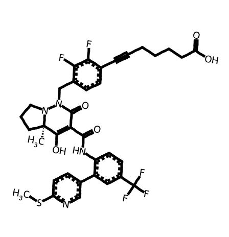 CSc1ccc(-c2cc(C(F)(F)F)ccc2NC(=O)C2=C(O)[C@@]3(C)CCCN3N(Cc3ccc(C#CCCCCC(=O)O)c(F)c3F)C2=O)cn1